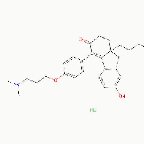 CCCCC12CCC(=O)C(c3ccc(OCCCN(C)C)cc3)=C1c1ccc(O)cc1C2.Cl